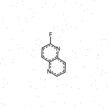 Fc1ccc2nc[c]cc2n1